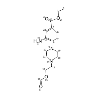 CCOC(=O)c1ccc(N2CCN(CCOC=O)CC2)c(N)c1